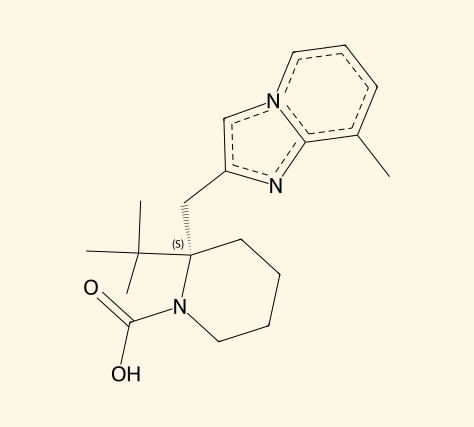 Cc1cccn2cc(C[C@]3(C(C)(C)C)CCCCN3C(=O)O)nc12